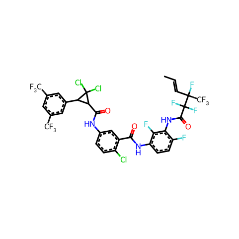 C/C=C/C(F)(C(F)(F)F)C(F)(F)C(=O)Nc1c(F)ccc(NC(=O)c2cc(NC(=O)C3C(c4cc(C(F)(F)F)cc(C(F)(F)F)c4)C3(Cl)Cl)ccc2Cl)c1F